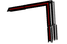 [Al+3].[Al+3].[Al+3].[Al+3].[Al+3].[Al+3].[Al+3].[Al+3].[Al+3].[Al+3].[Al+3].[Al+3].[Al+3].[Al+3].[Al+3].[Al+3].[Al+3].[Al+3].[Al+3].[Al+3].[Al+3].[Al+3].[Al+3].[Al+3].[Al+3].[Al+3].[Al+3].[Al+3].[Al+3].[Al+3].[Al+3].[Al+3].[Al+3].[Al+3].[Al+3].[Al+3].[Al+3].[Al+3].[Al+3].[Al+3].[Al+3].[Al+3].[Al+3].[Al+3].[Al+3].[Al+3].[Al+3].[Al+3].[Al+3].[Al+3].[O-2].[O-2].[O-2].[O-2].[O-2].[O-2].[O-2].[O-2].[O-2].[O-2].[O-2].[O-2].[O-2].[O-2].[O-2].[O-2].[O-2].[O-2].[O-2].[O-2].[O-2].[O-2].[O-2].[O-2].[O-2].[O-2].[O-2].[O-2].[O-2].[O-2].[O-2].[O-2].[O-2].[O-2].[O-2].[O-2].[O-2].[O-2].[O-2].[O-2].[O-2].[O-2].[O-2].[O-2].[O-2].[O-2].[O-2].[O-2].[O-2].[O-2].[O-2].[O-2].[O-2].[O-2].[O-2].[O-2].[O-2].[O-2].[O-2].[O-2].[O-2].[O-2].[O-2].[O-2].[O-2].[O-2].[O-2].[O-2].[O-2].[O-2].[O-2].[O-2].[O-2].[O-2].[O-2].[O-2].[O-2].[O-2].[O-2].[O-2]